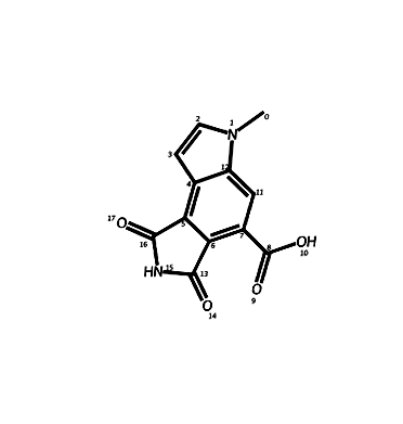 Cn1ccc2c3c(c(C(=O)O)cc21)C(=O)NC3=O